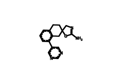 NC1=NCC2(CCc3cccc(-c4cncnc4)c3C2)O1